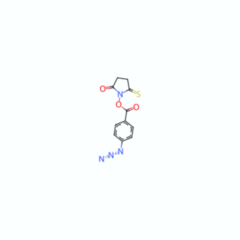 [N-]=[N+]=Nc1ccc(C(=O)ON2C(=O)CCC2=S)cc1